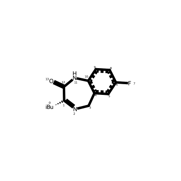 CC[C@@H](C)C1=NCc2cc(F)ccc2NC1=O